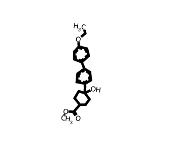 CCOc1ccc(-c2ccc(C3(O)CCC(C(=O)OC)CC3)cc2)cc1